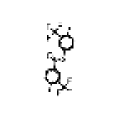 Cc1ccc(SC(=O)c2ccc(C)c(C(F)(F)F)c2)cc1C(F)(F)F